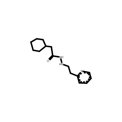 O=C(CC1CCCCC1)NNCCc1ccccn1